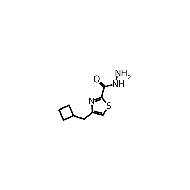 NNC(=O)c1nc(CC2CCC2)cs1